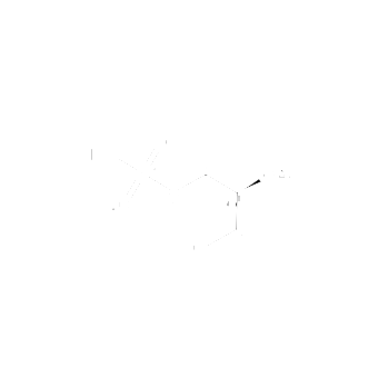 CC(=O)O[C@@H](CCl)COS(=O)(=O)C(F)(F)F